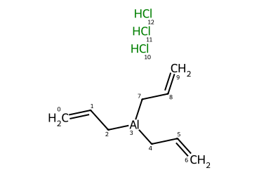 C=C[CH2][Al]([CH2]C=C)[CH2]C=C.Cl.Cl.Cl